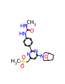 CNC(=O)Nc1ccc(-c2nc(CS(C)(=O)=O)cc(N3CC4CCC(C3)O4)n2)cc1